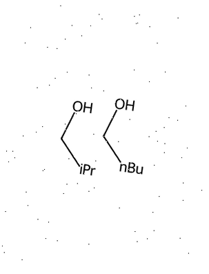 CC(C)CO.CCCCCO